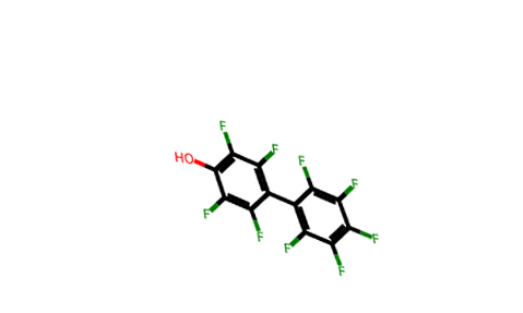 Oc1c(F)c(F)c(-c2c(F)c(F)c(F)c(F)c2F)c(F)c1F